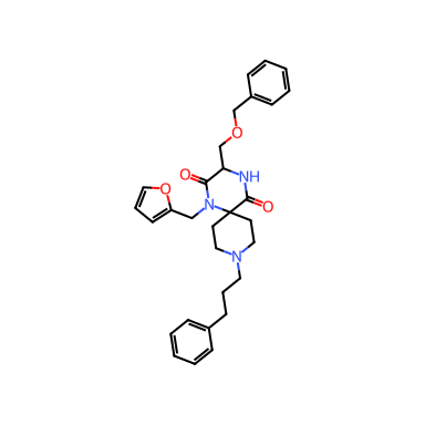 O=C1C(COCc2ccccc2)NC(=O)C2(CCN(CCCc3ccccc3)CC2)N1Cc1ccco1